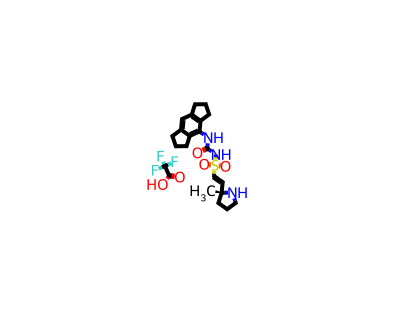 C[C@]1(/C=C/S(=O)(=O)NC(=O)Nc2c3c(cc4c2CCC4)CCC3)CCCN1.O=C(O)C(F)(F)F